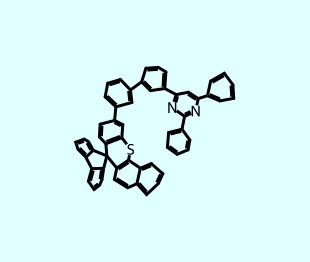 c1ccc(-c2cc(-c3cccc(-c4cccc(-c5ccc6c(c5)Sc5c(ccc7ccccc57)C65c6ccccc6-c6ccccc65)c4)c3)nc(-c3ccccc3)n2)cc1